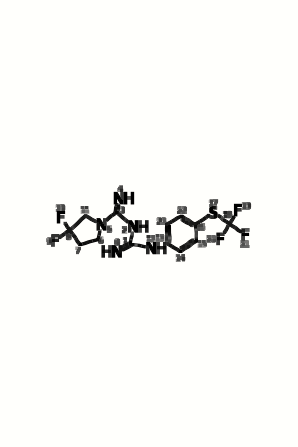 N=C(NC(=N)N1CCC(F)(F)C1)Nc1ccc(SC(F)(F)F)cc1